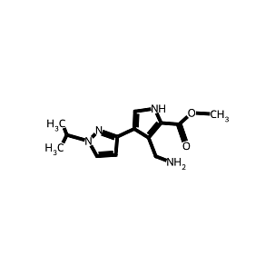 COC(=O)c1[nH]cc(-c2ccn(C(C)C)n2)c1CN